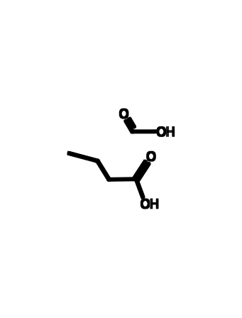 CCCC(=O)O.O=CO